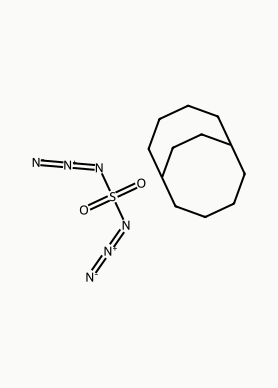 C1CCC2CCCCC(C1)CC2.[N-]=[N+]=NS(=O)(=O)N=[N+]=[N-]